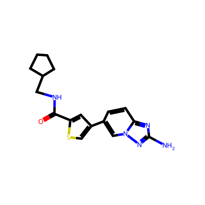 Nc1nc2ccc(-c3csc(C(=O)NCC4CCCC4)c3)cn2n1